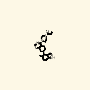 C=CC(=O)N1CCN(c2ncnc3c2CCC(c2c(C)ccc4[nH]ncc24)C3)CC1